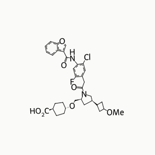 COC1CC([C@H]2C[C@@H](CO[C@H]3CC[C@H](C(=O)O)CC3)N(C(=O)Cc3cc(Cl)c(NC(=O)c4coc5ccccc45)cc3F)C2)C1